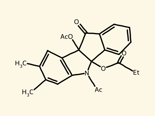 CCC(=O)OC12c3ccccc3C(=O)C1(OC(C)=O)c1cc(C)c(C)cc1N2C(C)=O